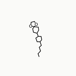 CCCCCC1CCC(C2CCC3(CC2)OCCO3)CC1